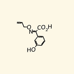 C=CCON=C(C(=O)O)c1cccc(O)c1